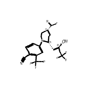 N#Cc1ccc(N2C[C@H](C(F)F)C[C@@H]2C[C@@H](O)C(F)(F)F)cc1C(F)(F)F